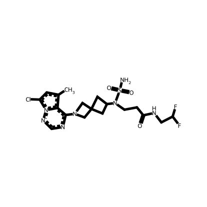 Cc1cc(Cl)n2ncnc(N3CC4(CC(N(CCC(=O)NCC(F)F)S(N)(=O)=O)C4)C3)c12